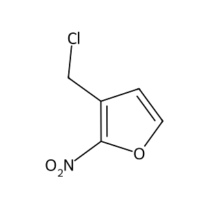 O=[N+]([O-])c1occc1CCl